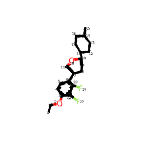 CCOc1ccc(C2CC=C(C3CCC(C)CC3)OC2)c(F)c1F